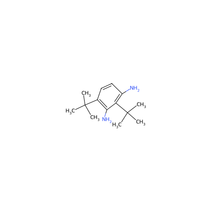 CC(C)(C)c1ccc(N)c(C(C)(C)C)c1N